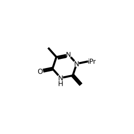 C=C1NC(=O)C(C)=NN1C(C)C